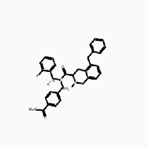 COC(=O)c1ccc(CN(C(=O)C2Cc3c(Cc4ccccc4)cccc3CN2C(=O)O)[C@H](C)c2ccccc2F)cc1